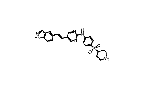 O=S(=O)(c1ccc(Nc2ncc(/C=C/c3ccc4[nH]ncc4c3)cn2)cc1)C1CCNCC1